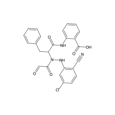 N#Cc1ccc(Cl)cc1NN(C(=O)C=O)C(Cc1ccccc1)C(=O)Nc1ccccc1C(=O)O